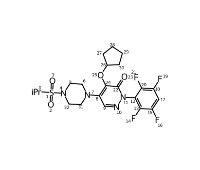 CC(C)S(=O)(=O)N1CCN(c2cnn(-c3c(F)c(F)cc(F)c3F)c(=O)c2OC2CCCC2)CC1